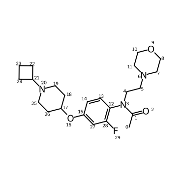 CC(=O)N(CCN1CCOCC1)c1ccc(OC2CCN(C3CCC3)CC2)cc1F